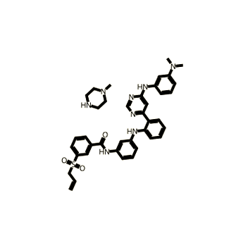 C=CCS(=O)(=O)c1cccc(C(=O)Nc2cccc(Nc3ccccc3-c3cc(Nc4cccc(N(C)C)c4)ncn3)c2)c1.CN1CCNCC1